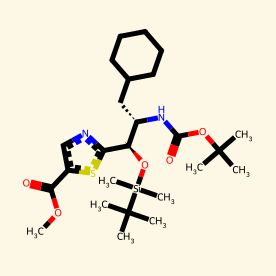 COC(=O)c1cnc([C@H](O[Si](C)(C)C(C)(C)C)[C@H](CC2CCCCC2)NC(=O)OC(C)(C)C)s1